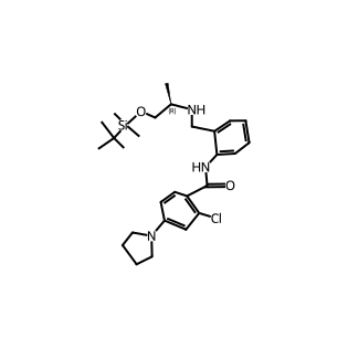 C[C@H](CO[Si](C)(C)C(C)(C)C)NCc1ccccc1NC(=O)c1ccc(N2CCCC2)cc1Cl